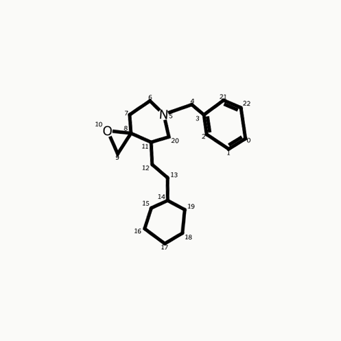 c1ccc(CN2CCC3(CO3)C(CCC3CCCCC3)C2)cc1